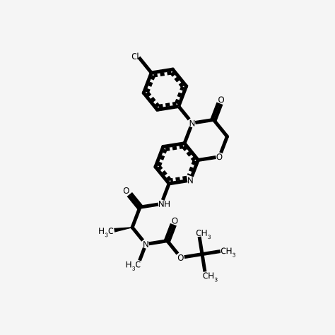 C[C@@H](C(=O)Nc1ccc2c(n1)OCC(=O)N2c1ccc(Cl)cc1)N(C)C(=O)OC(C)(C)C